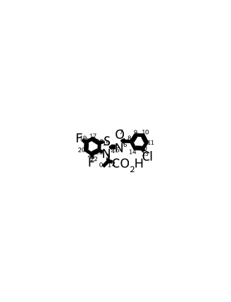 CC(C(=O)O)n1c(=NC(=O)c2cccc(Cl)c2)sc2cc(F)cc(F)c21